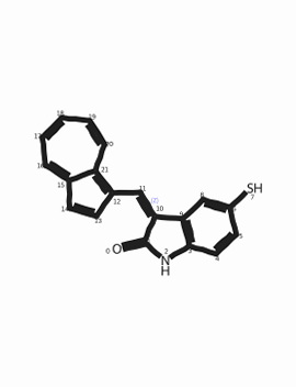 O=C1Nc2ccc(S)cc2/C1=C/c1ccc2cccccc1-2